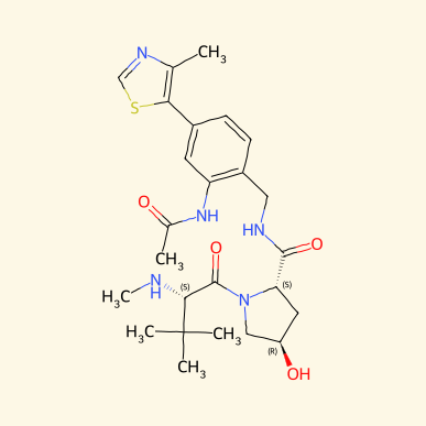 CN[C@H](C(=O)N1C[C@H](O)C[C@H]1C(=O)NCc1ccc(-c2scnc2C)cc1NC(C)=O)C(C)(C)C